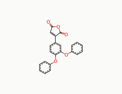 O=C1C=C(c2ccc(Oc3ccccc3)c(Oc3ccccc3)c2)C(=O)O1